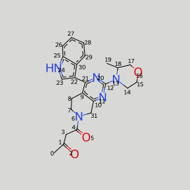 CC(=O)CC(=O)N1CCc2c(nc(N3CCOCC3C)nc2-c2c[nH]c3ccccc23)C1